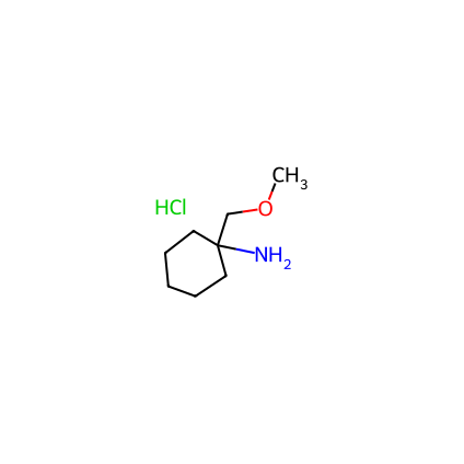 COCC1(N)CCCCC1.Cl